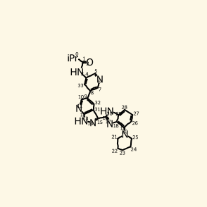 CC(C)C(=O)Nc1cncc(-c2cnc3[nH]nc(-c4nc5c(N6CCCCC6)cccc5[nH]4)c3c2)c1